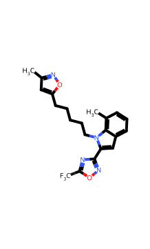 Cc1cc(CCCCCn2c(-c3noc(C(F)(F)F)n3)cc3cccc(C)c32)on1